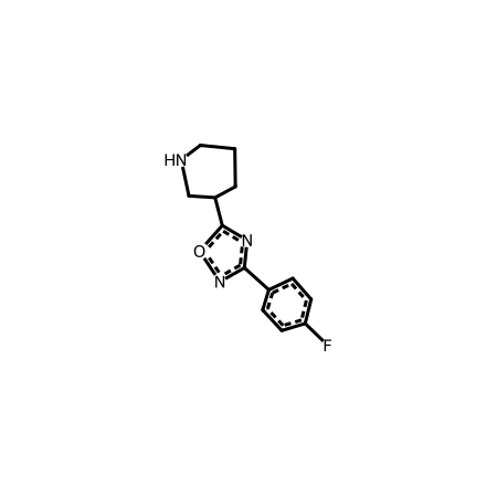 Fc1ccc(-c2noc(C3CCCNC3)n2)cc1